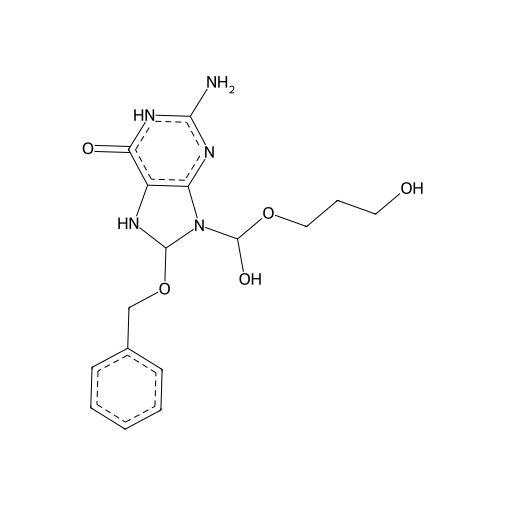 Nc1nc2c(c(=O)[nH]1)NC(OCc1ccccc1)N2C(O)OCCCO